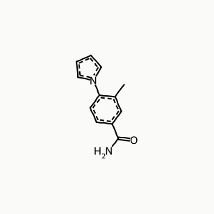 Cc1cc(C(N)=O)ccc1-n1cccc1